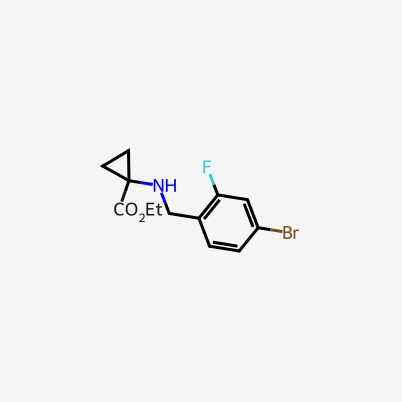 CCOC(=O)C1(NCc2ccc(Br)cc2F)CC1